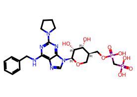 O=P(O)(O)CP(=O)(O)OC[C@H]1CO[C@@H](n2cnc3c(NCc4ccccc4)nc(N4CCCC4)nc32)[C@H](O)[C@@H]1O